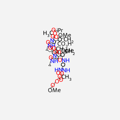 C=Cc1cc(C(=O)O)c(-c2ccc(C(=O)NCC3CC3CC(C)C(=O)OC(C)OC(=O)c3nc(C(=O)NCC4CC4)ccc3-c3cc(OC)c(C=C)cc3C(=O)Nc3ccc(C(=N)NC(=O)OC(C)OC(=O)COCCOCCOC)cc3)nc2C(=O)OC(C)OC(=O)C(C)C)cc1OC